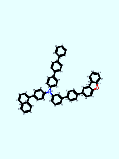 c1ccc(-c2ccc(-c3ccc(N(c4ccc(-c5cccc6ccccc56)cc4)c4cccc(-c5ccc(-c6ccc7oc8ccccc8c7c6)cc5)c4)cc3)cc2)cc1